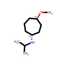 CO[C@@H]1CCC[C@@H](NC(C)C)CC1